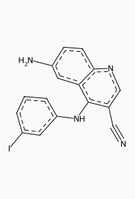 N#Cc1cnc2ccc(N)cc2c1Nc1cccc(I)c1